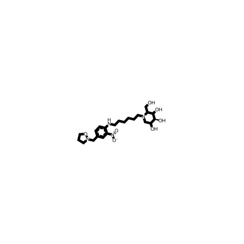 O=[N+]([O-])c1cc(CN2CCCO2)ccc1NCCCCCCN1CC(O)[C@H](O)C(O)C1CO